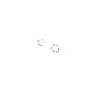 COc1cc(On2cc(C(=O)O)nn2)ccc1Br